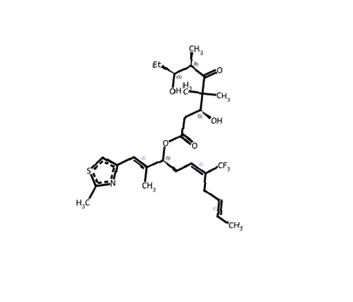 C/C=C/C/C(=C\C[C@H](OC(=O)C[C@H](O)C(C)(C)C(=O)[C@H](C)[C@@H](O)CC)/C(C)=C/c1csc(C)n1)C(F)(F)F